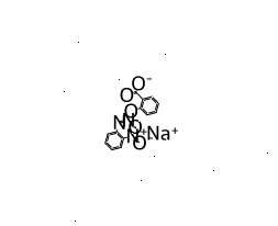 O=C([O-])c1ccccc1ON=Nc1ccccc1[N+](=O)[O-].[Na+]